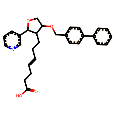 O=C(O)CCC=CCCC1C(OCc2ccc(-c3ccccc3)cc2)COC1c1cccnc1